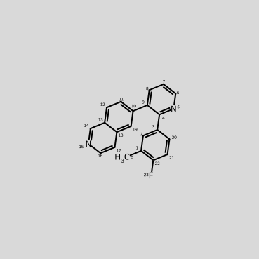 Cc1cc(-c2ncccc2-c2ccc3cnccc3c2)ccc1F